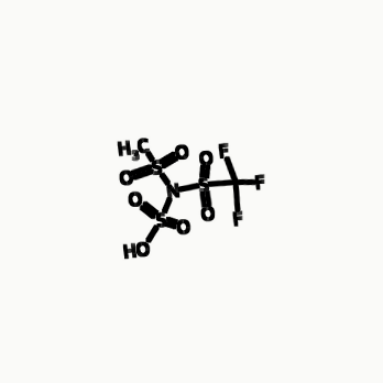 CS(=O)(=O)N(S(=O)(=O)O)S(=O)(=O)C(F)(F)F